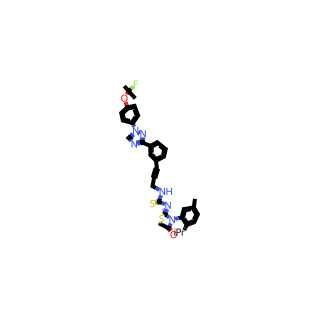 Cc1ccc(C(C)C)c(N2C(=O)CS/C2=N\C(=S)NCC#Cc2cccc(-c3ncn(-c4ccc(OC(C)(C)F)cc4)n3)c2)c1